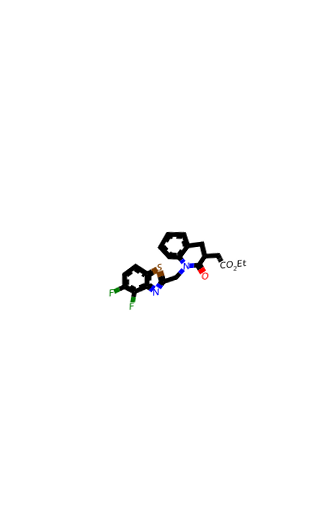 CCOC(=O)CC1Cc2ccccc2N(Cc2nc3c(F)c(F)ccc3s2)C1=O